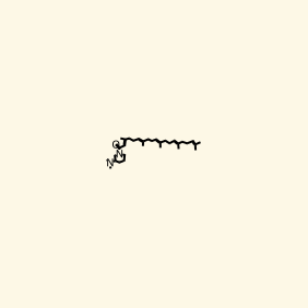 CC(C)=CCC/C(C)=C/CC/C(C)=C/CC/C(C)=C/CC/C(C)=C/C(=O)N1CCCC(N(C)C)C1